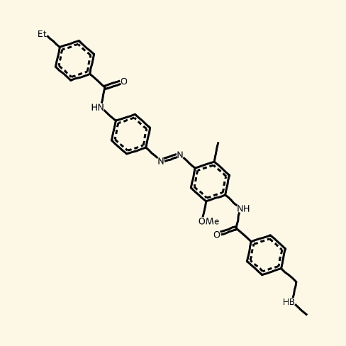 CBCc1ccc(C(=O)Nc2cc(C)c(/N=N/c3ccc(NC(=O)c4ccc(CC)cc4)cc3)cc2OC)cc1